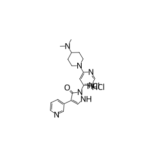 CN(C)C1CCN(c2cc(-n3[nH]cc(-c4cccnc4)c3=O)ncn2)CC1.Cl.Cl